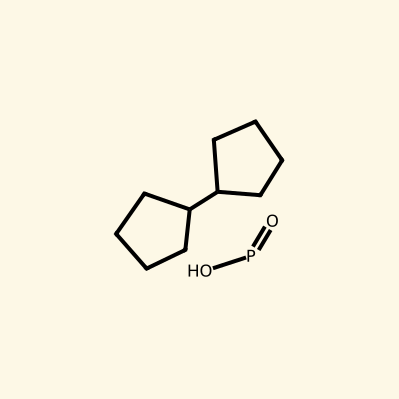 C1CCC(C2CCCC2)C1.O=PO